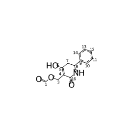 O=COCC1=C(O)CC(c2ccccc2)NC1=O